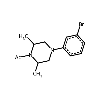 CC(=O)N1C(C)CN(c2cccc(Br)c2)CC1C